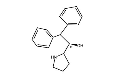 O[C@@H](C1CCCN1)C(c1ccccc1)c1ccccc1